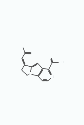 C=C(C)c1nccc2c1cc1n2CCC1=CC(=O)O